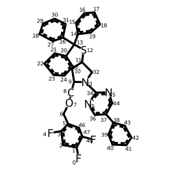 Fc1cc(F)c(COCC2CC(SC(c3ccccc3)(c3ccccc3)c3ccccc3)CN2c2ncc(-c3ccccc3)cn2)cc1F